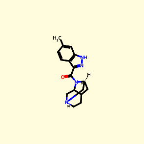 Cc1ccc2c(C(=O)N3C4C[N@]5CCC4C[C@H]3C5)n[nH]c2c1